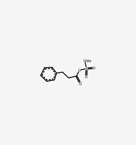 COS(=O)(=O)OC(=O)CCc1ccccc1